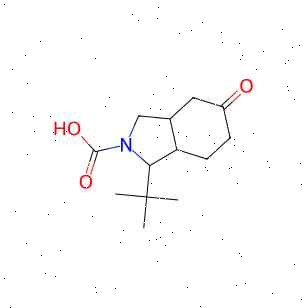 CC(C)(C)C1C2CCC(=O)CC2CN1C(=O)O